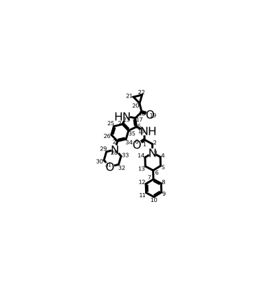 O=C(CN1CCC(c2ccccc2)CC1)Nc1c(C(=O)C2CC2)[nH]c2ccc(N3CCOCC3)cc12